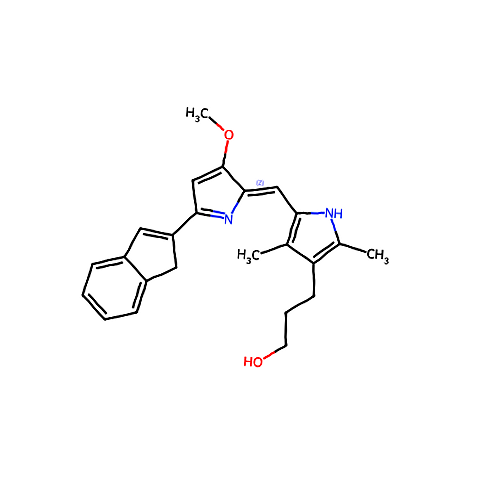 COC1=CC(C2=Cc3ccccc3C2)=N/C1=C\c1[nH]c(C)c(CCCO)c1C